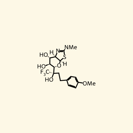 CNC1=N[C@@H]2[C@@H](O)[C@H](O)[C@@H]([C@](O)(CCc3ccc(OC)cc3)C(F)(F)F)O[C@@H]2S1